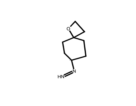 N=N[C]1CCC2(CCO2)CC1